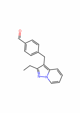 CCc1nn2ccccc2c1Cc1ccc([C]=O)cc1